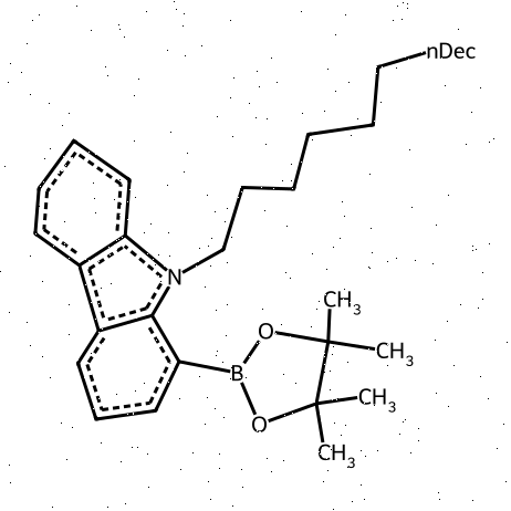 CCCCCCCCCCCCCCCCn1c2ccccc2c2cccc(B3OC(C)(C)C(C)(C)O3)c21